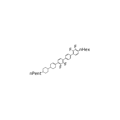 CCCCCCc1ccc(-c2ccc(-c3ccc(C4=CCC(C5CCC(CCCCC)CC5)CC4)c(F)c3F)cc2)c(F)c1F